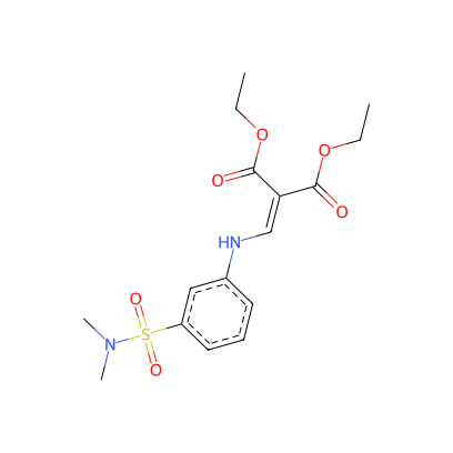 CCOC(=O)C(=CNc1cccc(S(=O)(=O)N(C)C)c1)C(=O)OCC